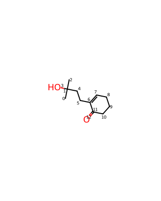 CC(C)(O)CCC1=CCCCC1=O